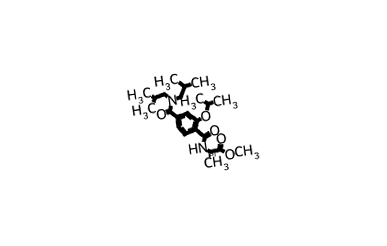 COC(=O)[C@H](C)NC(=O)c1ccc(C(=O)N(CC(C)C)CC(C)C)cc1OC(C)C